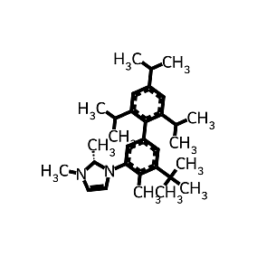 Cc1c(N2C=CN(C)[C@@H]2C)cc(-c2c(C(C)C)cc(C(C)C)cc2C(C)C)cc1C(C)(C)C